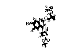 CC(C)(C)OC(=O)N1C[C@@H]2C[C@H]1CN2c1nc(OCC2(COS(C)(=O)=O)CC2)nc2c(F)c(Br)c(I)cc12